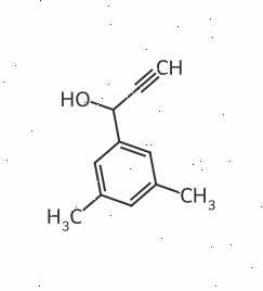 C#CC(O)c1cc(C)cc(C)c1